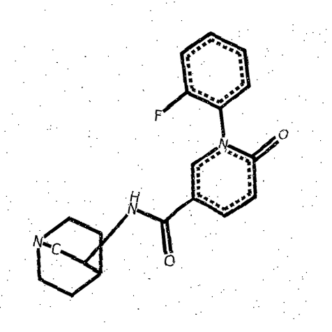 O=C(NC1CN2CCC1CC2)c1ccc(=O)n(-c2ccccc2F)c1